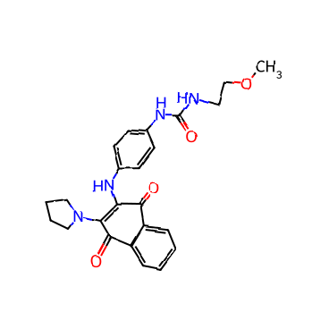 COCCNC(=O)Nc1ccc(NC2=C(N3CCCC3)C(=O)c3ccccc3C2=O)cc1